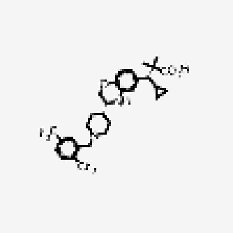 CC(C)(C(=O)O)[C@@H](c1ccc2c(c1)N[C@H](C1CCN(Cc3cc(C(F)(F)F)ccc3C(F)(F)F)CC1)CO2)C1CC1